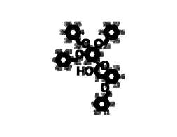 O[C@@H]1Cc2c(OCc3ccccc3)cccc2O[C@H]1c1cc(OCc2ccccc2)c(OCc2ccccc2)c(OCc2ccccc2)c1